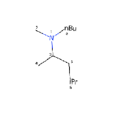 CCCCN(C)C(C)CC(C)C